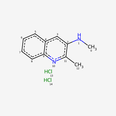 CNc1cc2ccccc2nc1C.Cl.Cl